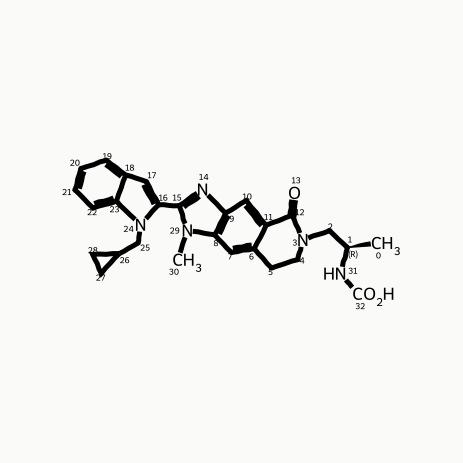 C[C@H](CN1CCc2cc3c(cc2C1=O)nc(-c1cc2ccccc2n1CC1CC1)n3C)NC(=O)O